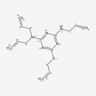 C=CCNc1nc(OCC=C)nc(N(CC=C)CC=C)n1